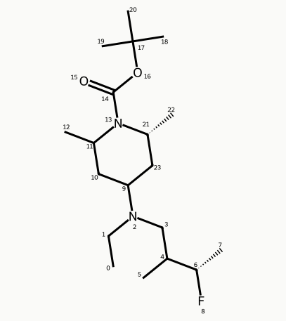 CCN(CC(C)[C@H](C)F)C1CC(C)N(C(=O)OC(C)(C)C)[C@H](C)C1